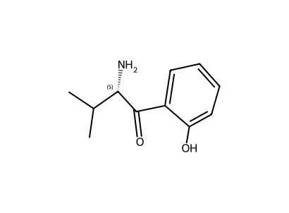 CC(C)[C@H](N)C(=O)c1ccccc1O